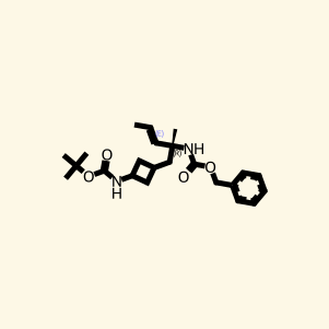 C/C=C/[C@@](C)(CC1CC(NC(=O)OC(C)(C)C)C1)NC(=O)OCc1ccccc1